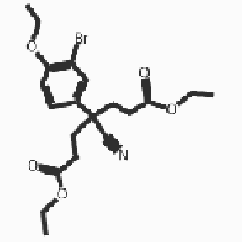 CCOC(=O)CCC(C#N)(CCC(=O)OCC)c1ccc(OCC)c(Br)c1